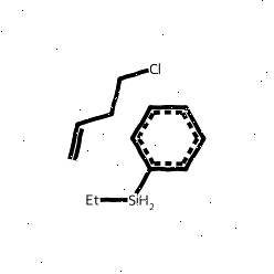 C=CCCCl.CC[SiH2]c1ccccc1